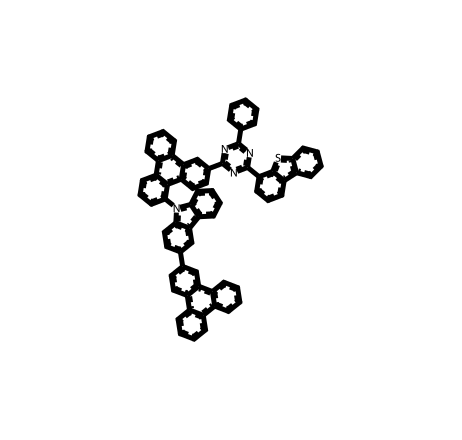 c1ccc(-c2nc(-c3ccc4c(c3)c3ccccc3c3cccc(-n5c6ccccc6c6cc(-c7ccc8c9ccccc9c9ccccc9c8c7)ccc65)c34)nc(-c3cccc4c3sc3ccccc34)n2)cc1